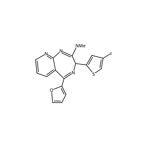 CNC1=Nc2ncccc2C(c2ccco2)=NC1c1cc(I)cs1